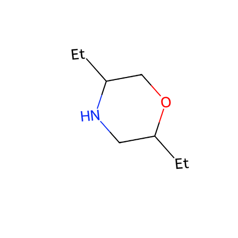 CCC1COC(CC)CN1